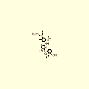 CCCC(CCN)c1cc(OC(C)C)c(Nc2ncc(Cl)c(Bc3cccc(CO)c3S(=O)(=O)CC)n2)cc1C